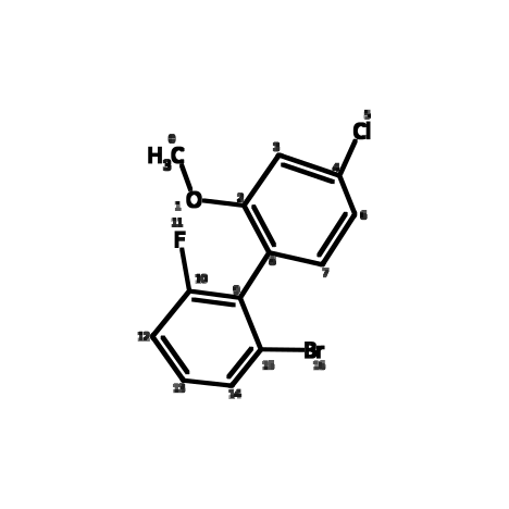 COc1cc(Cl)ccc1-c1c(F)cccc1Br